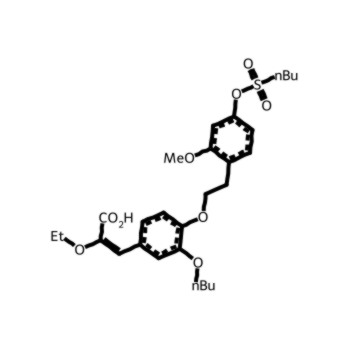 CCCCOc1cc(/C=C(/OCC)C(=O)O)ccc1OCCc1ccc(OS(=O)(=O)CCCC)cc1OC